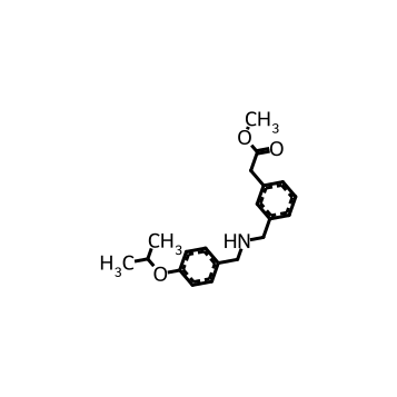 COC(=O)Cc1cccc(CNCc2ccc(OC(C)C)cc2)c1